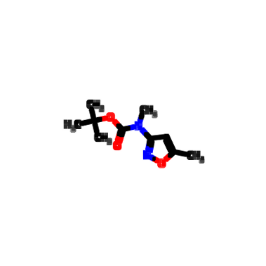 Cc1cc(N(C)C(=O)OC(C)(C)C)no1